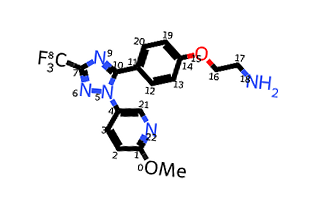 COc1ccc(-n2nc(C(F)(F)F)nc2-c2ccc(OCCN)cc2)cn1